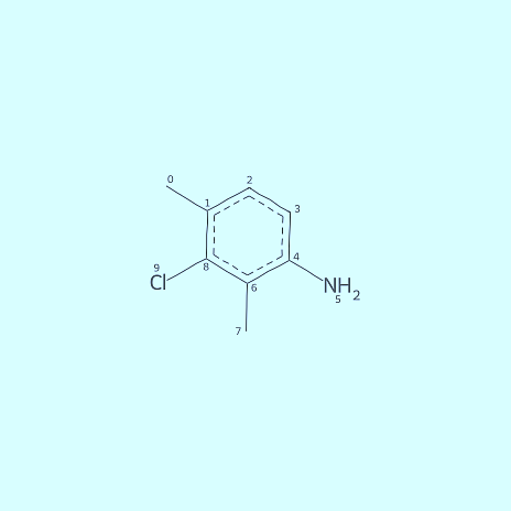 Cc1ccc(N)c(C)c1Cl